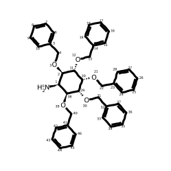 N[C@H]1[C@@H](OCc2ccccc2)[C@H](OCc2ccccc2)[C@H](OCc2ccccc2)[C@H](OCc2ccccc2)[C@H]1OCc1ccccc1